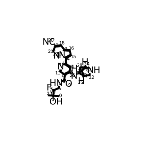 CC(C)(O)[C@H](F)CNC(=O)c1cnc(-c2ccc3cc(C#N)cnn23)cc1N[C@H]1C[C@@H]2C[C@H]1CN2